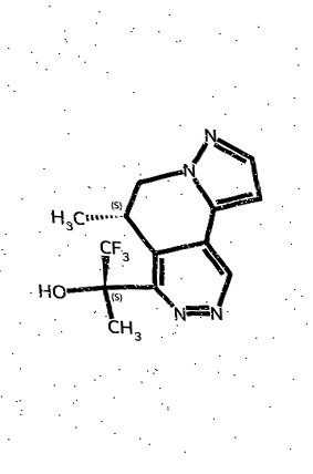 C[C@@H]1Cn2nccc2-c2cnnc([C@](C)(O)C(F)(F)F)c21